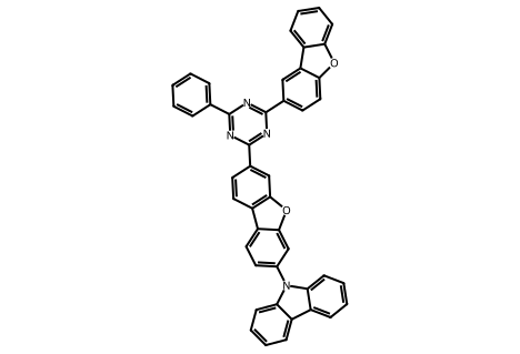 c1ccc(-c2nc(-c3ccc4c(c3)oc3cc(-n5c6ccccc6c6ccccc65)ccc34)nc(-c3ccc4oc5ccccc5c4c3)n2)cc1